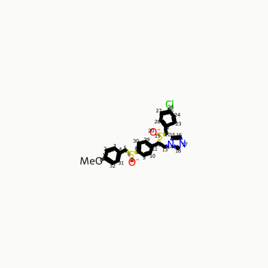 COc1ccc(C[S+]([O-])c2ccc(C(Cn3ccnc3)[S+]([O-])Cc3ccc(Cl)cc3)cc2)cc1